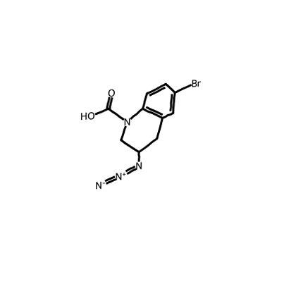 [N-]=[N+]=NC1Cc2cc(Br)ccc2N(C(=O)O)C1